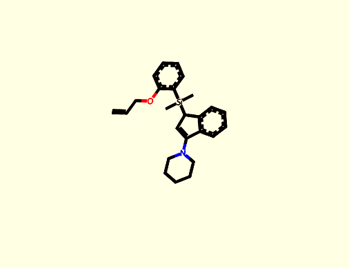 C=CCOc1ccccc1[Si](C)(C)C1C=C(N2CCCCC2)c2ccccc21